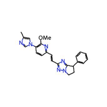 COc1nc(C=Cc2nc3n(n2)CCC3c2ccccc2)ccc1-n1cnc(C)c1